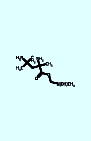 CN(O)COC(=O)C(C)(N)CC(C)(C)N